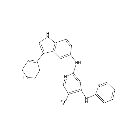 FC(F)(F)c1cnc(Nc2ccc3[nH]cc(C4=CCNCC4)c3c2)nc1Nc1ccccn1